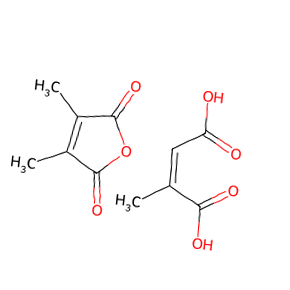 C/C(=C/C(=O)O)C(=O)O.CC1=C(C)C(=O)OC1=O